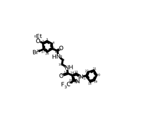 CCOc1ccc(C(=O)NCCNC(=O)c2cn(-c3ccccc3)nc2C(F)(F)F)cc1Br